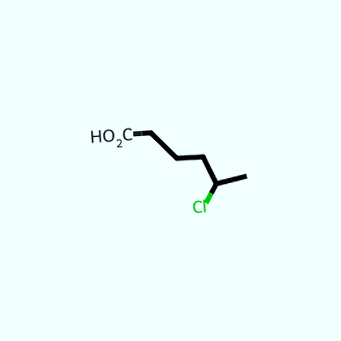 CC(Cl)CCCC(=O)O